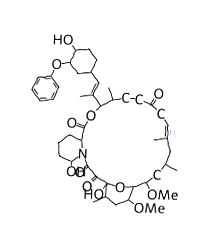 COC1CC(C)C/C(C)=C/CC(=O)CCC(C)C(C(C)=CC2CCC(O)C(Oc3ccccc3)C2)OC(=O)C2CCCC(O)N2C(=O)C(=O)C2(O)OC1C(OC)CC2C